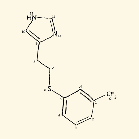 FC(F)(F)c1cccc(SCCc2c[nH]cn2)c1